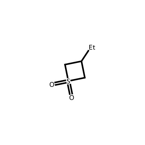 [CH2]CC1CS(=O)(=O)C1